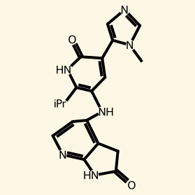 CC(C)c1[nH]c(=O)c(-c2cncn2C)cc1Nc1ccnc2c1CC(=O)N2